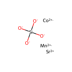 [Co+2].[Mn+2].[O-][Si]([O-])([O-])[O-].[Sr+2]